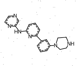 c1cc(-c2cccc(Nc3cnccn3)n2)cc(N2CCNCC2)c1